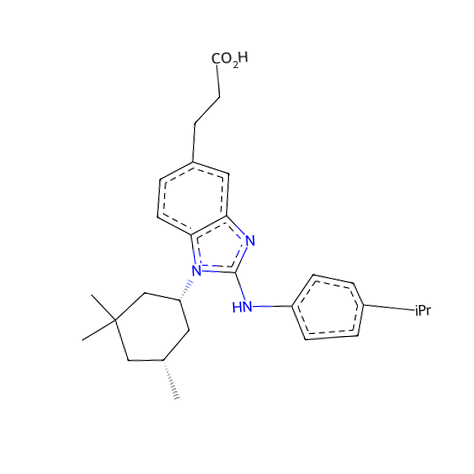 CC(C)c1ccc(Nc2nc3cc(CCC(=O)O)ccc3n2[C@@H]2C[C@H](C)CC(C)(C)C2)cc1